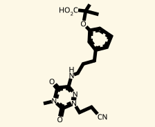 Cn1c(=O)c(NCCCc2cccc(OC(C)(C)C(=O)O)c2)nn(CCC#N)c1=O